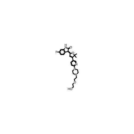 CC1(C)OC(=C2C(=O)Nc3cc(F)ccc32)C=C1c1ccc(N2CCN(CCOCCO)CC2)nc1